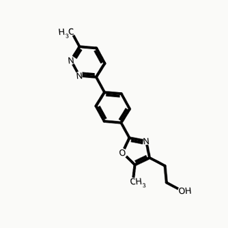 Cc1ccc(-c2ccc(-c3nc(CCO)c(C)o3)cc2)nn1